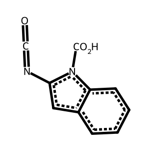 O=C=Nc1cc2ccccc2n1C(=O)O